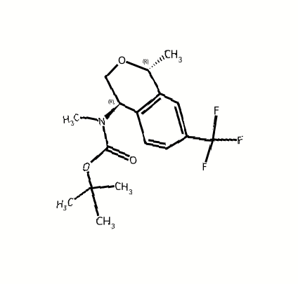 C[C@H]1OC[C@H](N(C)C(=O)OC(C)(C)C)c2ccc(C(F)(F)F)cc21